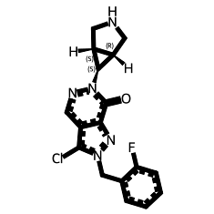 O=c1c2nn(Cc3ccccc3F)c(Cl)c2cnn1[C@H]1[C@@H]2CNC[C@@H]21